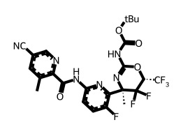 Cc1cc(C#N)cnc1C(=O)Nc1ccc(F)c([C@@]2(C)N=C(NC(=O)OC(C)(C)C)O[C@H](C(F)(F)F)C2(F)F)n1